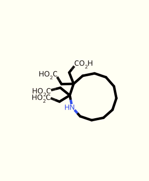 O=C(O)CC1(CC(=O)O)CCCCCCCCCNC1(CC(=O)O)CC(=O)O